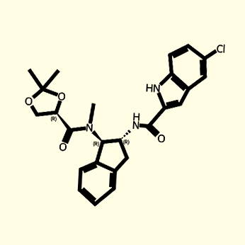 CN(C(=O)[C@H]1COC(C)(C)O1)[C@@H]1c2ccccc2C[C@H]1NC(=O)c1cc2cc(Cl)ccc2[nH]1